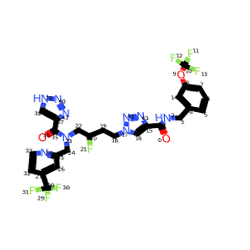 O=C(NCc1cccc(OC(F)(F)F)c1)c1cn(CCC(F)CN(Cc2cc(C(F)(F)F)ccn2)C(=O)c2c[nH]nn2)nn1